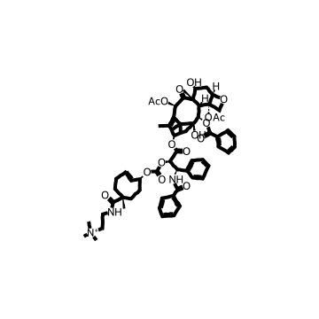 CC(=O)O[C@H]1C(=O)[C@@]2(C)[C@H]([C@H](OC(=O)c3ccccc3)[C@]3(O)C[C@H](OC(=O)[C@H](OC(=O)O[C@H]4/C=C/CC[C@@](C)(C(=O)NCC[N+](C)(C)C)CC4)[C@@H](NC(=O)c4ccccc4)c4ccccc4)C(C)=C1C3(C)C)[C@]1(OC(C)=O)CO[C@@H]1C[C@@H]2O